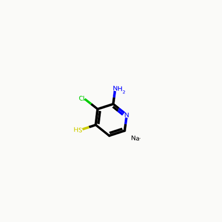 Nc1nccc(S)c1Cl.[Na]